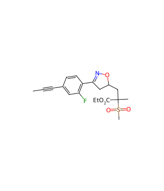 CC#Cc1ccc(C2=NOC(CC(C)(C(=O)OCC)S(C)(=O)=O)C2)c(F)c1